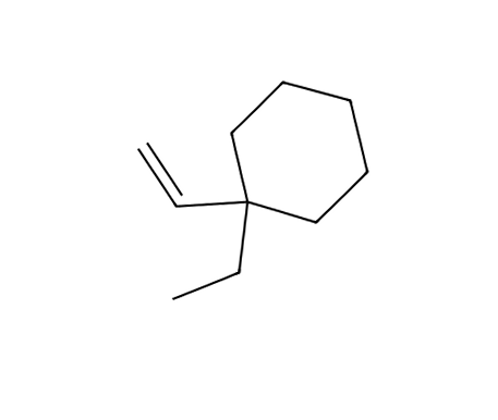 C=CC1(CC)CCCCC1